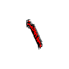 FC(F)=C(F)OC(F)(F)OC(F)(F)C(F)(F)OC(F)(F)C(F)(F)C(F)(F)C(F)(F)C(F)(F)C(F)(F)C(F)(F)C(F)(F)C(F)(F)C(F)(F)C(F)(F)C(F)(F)C(F)(F)C(F)(F)C(F)(F)C(F)(F)C(F)(F)C(F)(F)C(F)(F)C(F)(F)C(F)(F)OC(F)=C(F)F